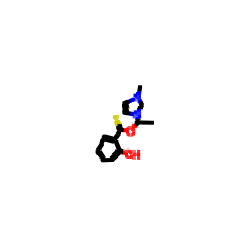 CC(OC(=S)c1ccccc1O)N1C=CN(C)C1